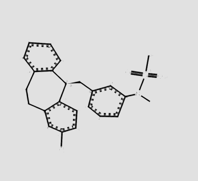 CN(c1cccc(C[C@@H]2c3ccccc3CCc3cc(Cl)ccc32)c1)S(C)(=O)=O